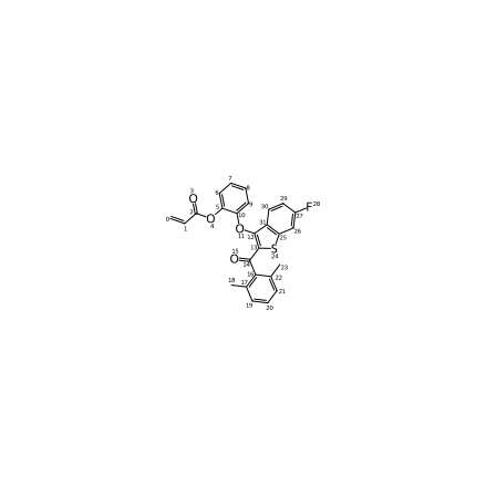 C=CC(=O)Oc1ccccc1Oc1c(C(=O)c2c(C)cccc2C)sc2cc(F)ccc12